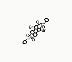 O=C1c2ccc3c4cc(Br)c5c6c(cc(Br)c(c7ccc(c2c37)C(=O)N1CCc1ccccc1)c64)C(=O)N(CCc1ccccc1)C5=O